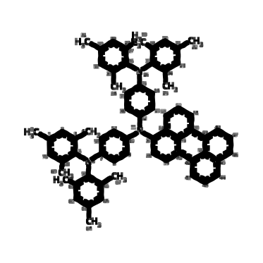 Cc1cc(C)c(N(c2ccc(N(c3ccc(N(c4c(C)cc(C)cc4C)c4c(C)cc(C)cc4C)cc3)c3ccc4c5cccc6cccc(c7cccc3c74)c65)cc2)c2c(C)cc(C)cc2C)c(C)c1